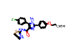 COCCOc1ccc(-c2nc(C(=O)Nc3nccs3)c(-c3ccc(Cl)cc3)[nH]2)cc1